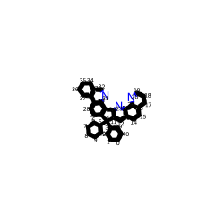 c1ccc(C2(c3ccccc3)c3cc4ccc5cccnc5c4nc3-c3c2ccc2c3ncc3ccccc32)cc1